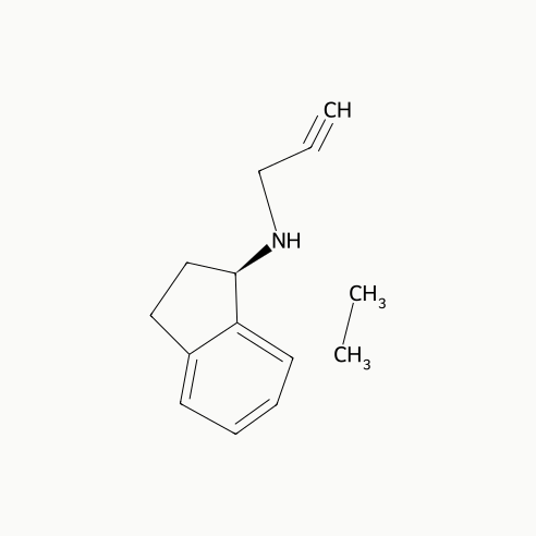 C#CCN[C@@H]1CCc2ccccc21.CC